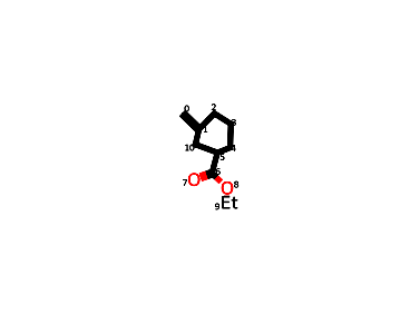 C=C1CCCC(C(=O)OCC)C1